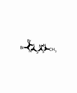 Cc1nnc(Sc2nc(Br)c(Br)s2)s1